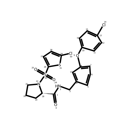 O=C(NCc1cccc(Oc2ccc(Cl)cc2)c1)[C@@H]1CCCN1S(=O)(=O)c1ccc(Cl)s1